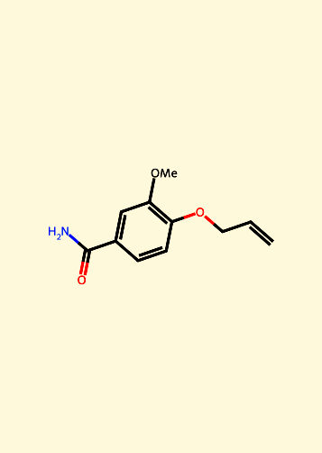 C=CCOc1ccc(C(N)=O)cc1OC